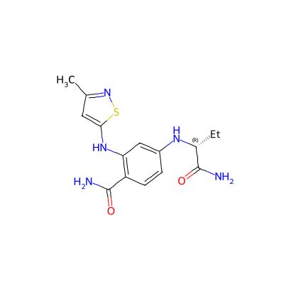 CC[C@@H](Nc1ccc(C(N)=O)c(Nc2cc(C)ns2)c1)C(N)=O